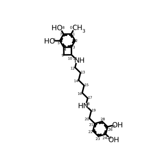 Cc1cc2c(c(O)c1O)CC2NCCCCCCNCCc1ccc(O)c(O)c1